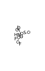 CCOC(=O)/C=C/c1cc(SCc2ccccc2)ccc1Nc1cc(F)c(-c2cccc(F)c2)cc1OC